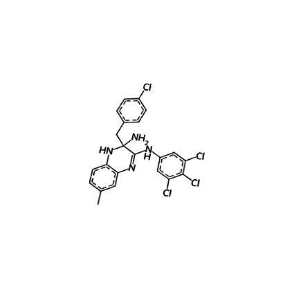 Cc1ccc2c(c1)N=C(Nc1cc(Cl)c(Cl)c(Cl)c1)C(N)(Cc1ccc(Cl)cc1)N2